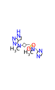 CN(c1ncnc2[nH]ccc12)C1CC(CS(=O)(=O)N(C)Cc2cnccn2)C1